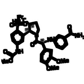 COC(=O)Nc1ccc(S(=O)(=O)C(C)C)c([C@H]2[C@@H](C(=O)O)CCN2C(=O)[C@H](Nc2cccc(C(N)=O)c2)c2ccc(OC)c(OC)c2)c1